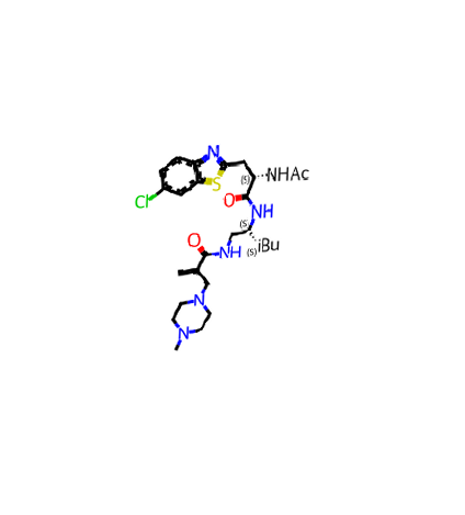 C=C(CN1CCN(C)CC1)C(=O)NC[C@@H](NC(=O)[C@H](Cc1nc2ccc(Cl)cc2s1)NC(C)=O)[C@@H](C)CC